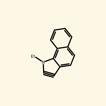 CCn1c#cc2ccc3ccccc3c21